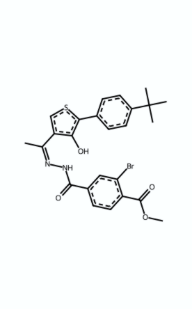 COC(=O)c1ccc(C(=O)N/N=C(/C)c2csc(-c3ccc(C(C)(C)C)cc3)c2O)cc1Br